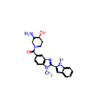 CCn1c(-c2nc3cc(C(=O)N4CCC(O)C(N)C4)ccc3n2C)cc2ccccc21